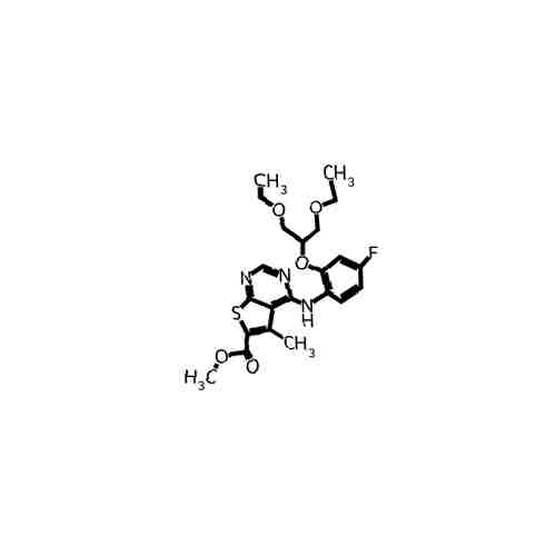 CCOCC(COCC)Oc1cc(F)ccc1Nc1ncnc2sc(C(=O)OC)c(C)c12